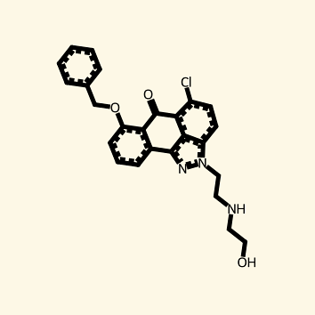 O=C1c2c(OCc3ccccc3)cccc2-c2nn(CCNCCO)c3ccc(Cl)c1c23